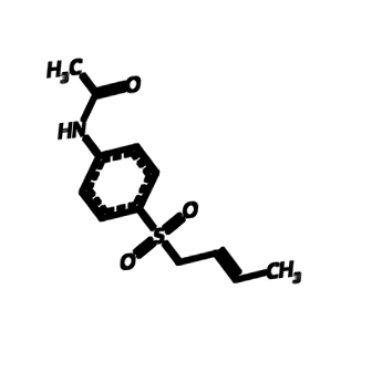 CC=CCS(=O)(=O)c1ccc(NC(C)=O)cc1